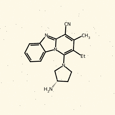 CCc1c(C)c(C#N)c2nc3ccccc3n2c1N1CC[C@H](N)C1